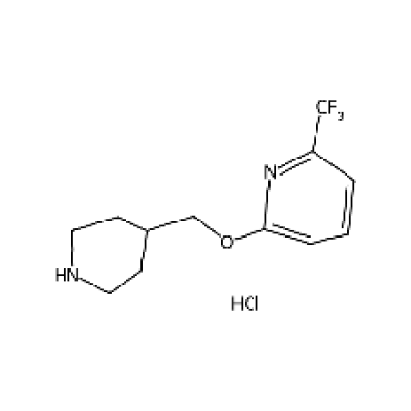 Cl.FC(F)(F)c1cccc(OCC2CCNCC2)n1